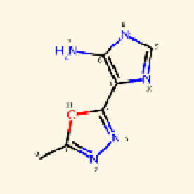 Cc1nnc(C2=C(N)[N]C=N2)o1